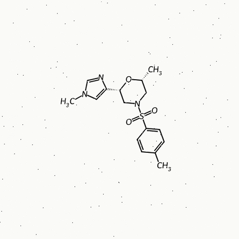 Cc1ccc(S(=O)(=O)N2C[C@@H](C)O[C@@H](c3cn(C)cn3)C2)cc1